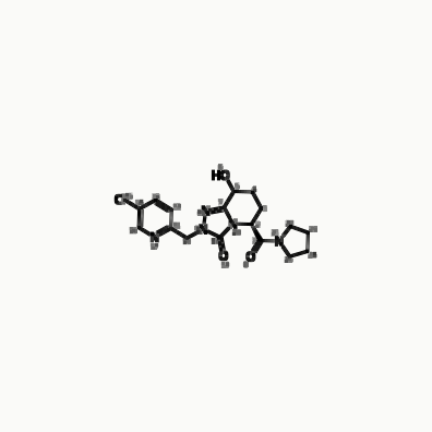 O=C([C@@H]1CCC(O)c2nn(Cc3ccc(Cl)cn3)c(=O)n21)N1CCCC1